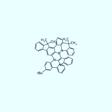 CC(C)(C)c1ccc(N2c3cc4c(c5c3B(c3c2sc2ccccc32)N2c3ccccc3C(C)(C)c3cccc-5c32)C(C)(C)c2ccccc2-4)c(-c2ccccc2)c1